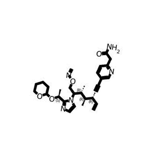 C=C[C@@H](C#Cc1ccc(CC(N)=O)nc1)[C@@H](C)[C@@H](C)C(CON=C)n1ccnc1[C@H](C)OC1CCCCO1